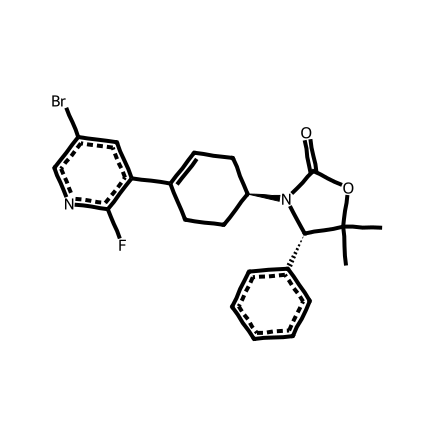 CC1(C)OC(=O)N([C@@H]2CC=C(c3cc(Br)cnc3F)CC2)[C@H]1c1ccccc1